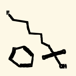 O=S(=O)(O)CCCCCCF.c1ccncc1